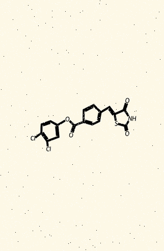 O=C1NC(=O)C(=Cc2ccc(C(=O)Oc3ccc(Cl)c(Cl)c3)cc2)S1